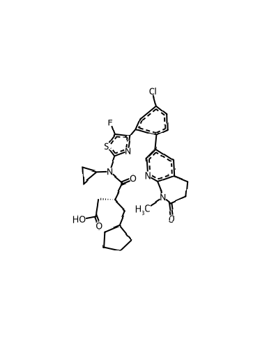 CN1C(=O)CCc2cc(-c3ccc(Cl)cc3-c3nc(N(C(=O)[C@@H](CC(=O)O)CC4CCCC4)C4CC4)sc3F)cnc21